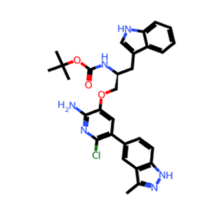 Cc1n[nH]c2ccc(-c3cc(OC[C@H](Cc4c[nH]c5ccccc45)NC(=O)OC(C)(C)C)c(N)nc3Cl)cc12